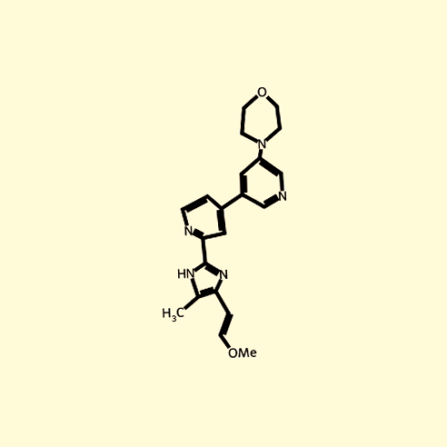 CO/C=C/c1nc(-c2cc(-c3cncc(N4CCOCC4)c3)ccn2)[nH]c1C